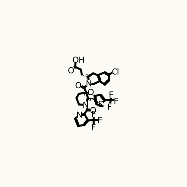 CCC[C@H]1N(C(=O)c2ncccc2C(F)(F)F)CCC[C@@]1(Oc1csc(C(F)(F)F)c1)C(=O)N1Cc2ccc(Cl)cc2C[C@H]1CCC(=O)O